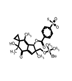 CC1=C2C(=C[C@@](C)(CO[Si](C)(C)C(C)(C)C)[C@@H]2OC(=O)c2ccc(S(=O)(=O)F)cc2)C(=O)[C@](C)(O)C12CC2